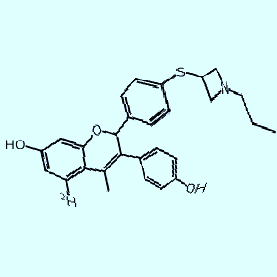 [2H]c1cc(O)cc2c1C(C)=C(c1ccc(O)cc1)C(c1ccc(SC3CN(CCC)C3)cc1)O2